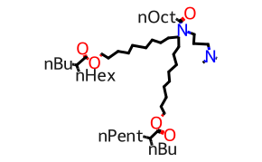 CCCCCCCCC(=O)N(CCCN(C)C)C(CCCCCCCCCOC(=O)C(CCCC)CCCCC)CCCCCCCCCOC(=O)C(CCCC)CCCCCC